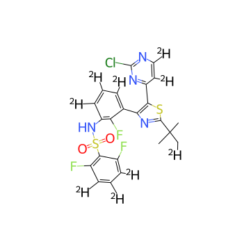 [2H]CC(C)(C)c1nc(-c2c([2H])c([2H])c([2H])c(NS(=O)(=O)c3c(F)c([2H])c([2H])c([2H])c3F)c2F)c(-c2nc(Cl)nc([2H])c2[2H])s1